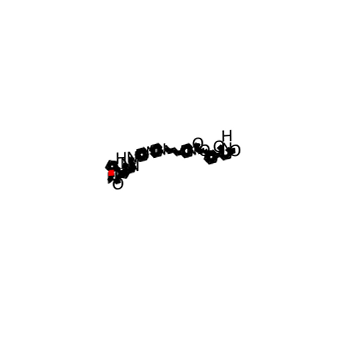 CN(C)C(=O)c1cc2cnc(Nc3ccc(N4CCN(CCCCC5CCN(C(=O)COc6cccc(C7CCC(=O)NC7=O)c6)CC5)CC4)cc3)nc2n1C1CCCC1